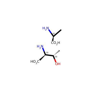 C[C@H](N)C(=O)O.C[C@H](O)[C@H](N)C(=O)O